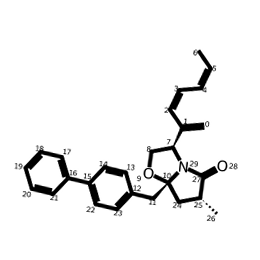 C=C(/C=C\C=C/C)[C@@H]1CO[C@@]2(Cc3ccc(-c4ccccc4)cc3)C[C@@H](C)C(=O)N12